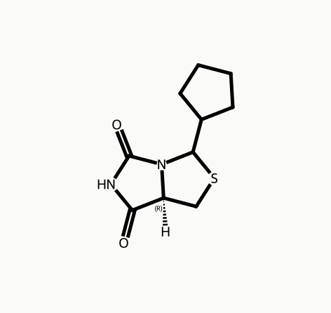 O=C1NC(=O)N2C(C3CCCC3)SC[C@@H]12